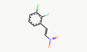 O=[N+]([O-])C=Cc1cccc(Cl)c1F